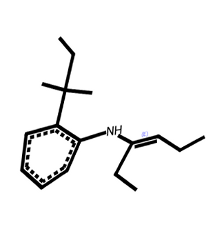 CC/C=C(\CC)Nc1ccccc1C(C)(C)CC